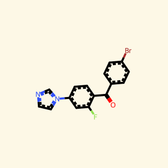 O=C(c1ccc(Br)cc1)c1ccc(-n2ccnc2)cc1F